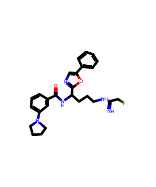 N=C(CF)NCCCC(NC(=O)c1cccc(N2CCCC2)c1)c1ncc(-c2ccccc2)o1